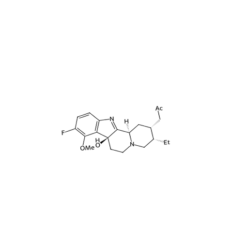 CC[C@@H]1CN2CC[C@@]3(O)C(=Nc4ccc(F)c(OC)c43)[C@H]2C[C@@H]1CC(C)=O